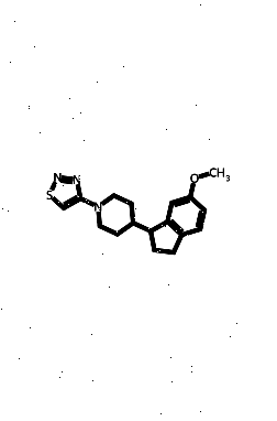 COc1ccc2c(c1)C(C1CCN(c3csnn3)CC1)CC2